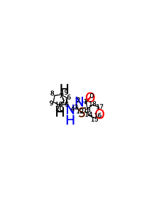 O=C1N=C(N[C@@H]2C[C@H]3CC[C@@H]2C3)SC12CCOCC2